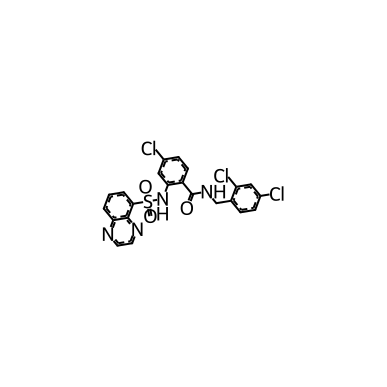 O=C(NCc1ccc(Cl)cc1Cl)c1ccc(Cl)cc1NS(=O)(=O)c1cccc2nccnc12